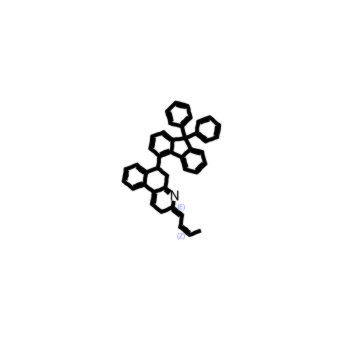 C/C=C\C=C1/CC=C2C(=N1)CC(c1cccc3c1-c1ccccc1C3(c1ccccc1)c1ccccc1)c1ccccc12